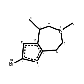 CC1CN(C)CCc2sc(Br)cc21